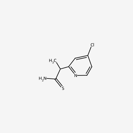 CC(C(N)=S)c1cc(Cl)ccn1